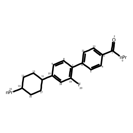 CCCC(=O)c1ccc(-c2ccc(C3CCC(CCC)CC3)cc2F)cc1